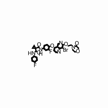 O=C1COCCN1CCOc1ncc2c(Oc3ccc(NC(=O)C4(C(=O)Nc5ccc(F)cc5)CC4)cc3F)ccnc2c1Br